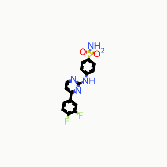 NS(=O)(=O)c1ccc(Nc2nccc(-c3ccc(F)c(F)c3)n2)cc1